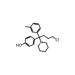 Cc1cccc(C(CCCCl)(c2ccc(O)cc2)N2CCCCC2)c1